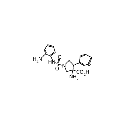 Nc1ccccc1NS(=O)(=O)N1CC(c2cbccc2)C(N)(C(=O)O)C1